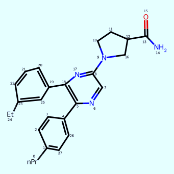 CCCc1ccc(-c2ncc(N3CCC(C(N)=O)C3)nc2-c2cccc(CC)c2)cc1